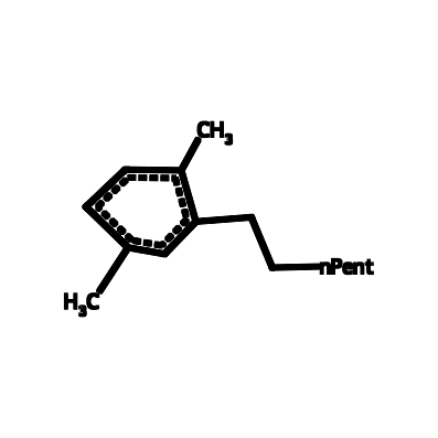 [CH2]CCCCCCc1cc(C)ccc1C